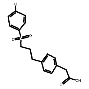 O=C(O)Cc1ccc(CCCS(=O)(=O)c2ccc(Cl)cc2)cc1